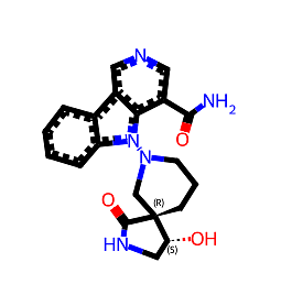 NC(=O)c1cncc2c3ccccc3n(N3CCC[C@]4(C3)C(=O)NC[C@H]4O)c12